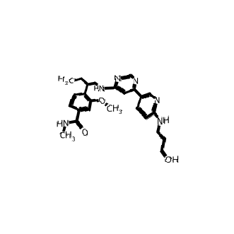 CCC(CNc1cc(-c2ccc(NCCCO)nc2)ncn1)c1ccc(C(=O)NC)cc1OC